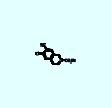 CCOC(=O)N1CCc2nc(Cl)c(C#N)cc2C1